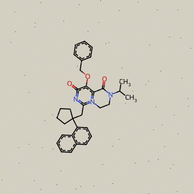 CC(C)N1CCn2c(CC3(c4cccc5ccccc45)CCCC3)nc(=O)c(OCc3ccccc3)c2C1=O